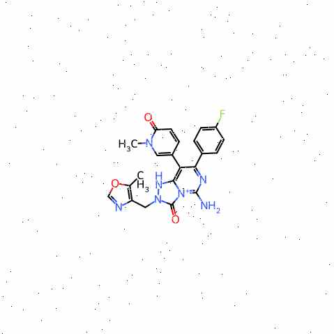 Cc1ocnc1Cn1[nH]c2c(-c3ccc(=O)n(C)c3)c(-c3ccc(F)cc3)nc(N)[n+]2c1=O